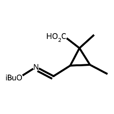 CC(C)CON=CC1C(C)C1(C)C(=O)O